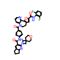 O=C(Nc1c(F)cccc1F)c1cc2c(o1)-c1ncccc1N(C(=O)c1ccc(NC(=O)c3cc4c(nc3N3CC5(CCOCC5)C3)CCC4)cc1)CC2